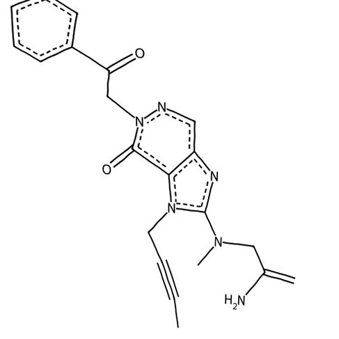 C=C(N)CN(C)c1nc2cnn(CC(=O)c3ccccc3)c(=O)c2n1CC#CC